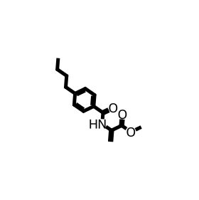 C=C(NC(=O)c1ccc(CCCC)cc1)C(=O)OC